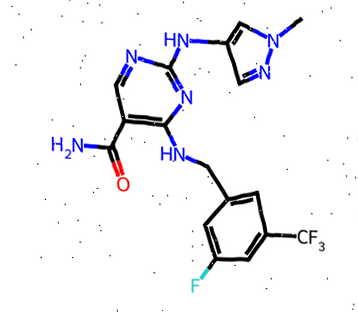 Cn1cc(Nc2ncc(C(N)=O)c(NCc3cc(F)cc(C(F)(F)F)c3)n2)cn1